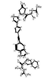 C=C1C[C@@H](c2nc(-c3ccc(C#Cc4ccc5[nH]c([C@@H]6CC7(CCOCC7)CN6C(=O)[C@@H](NC(=O)OC)C(C)C)nc5c4)cc3)c[nH]2)N(C(=O)[C@@H](NC(=O)OC)C(C)C)C1